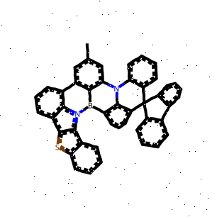 Cc1cc2c3c(c1)N1c4ccccc4C4(c5ccccc5-c5ccccc54)c4cccc(c41)B3n1c3c-2cccc3c2sc3ccccc3c21